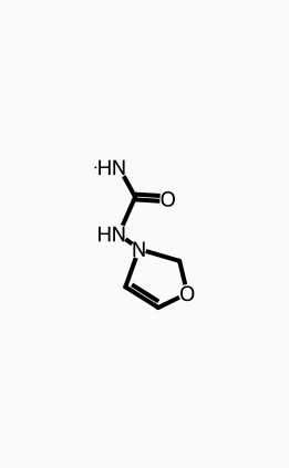 [NH]C(=O)NN1C=COC1